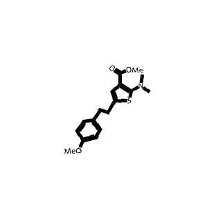 COC(=O)c1cc(CCc2ccc(OC)cc2)sc1N(C)C